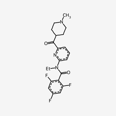 CCN(C(=O)c1c(F)cc(F)cc1F)c1cccc(C(=O)C2CCN(C)CC2)n1